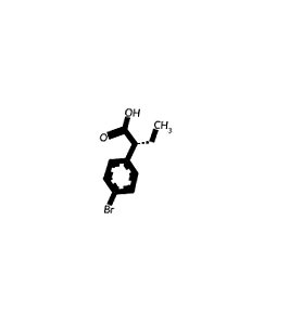 CC[C@@H](C(=O)O)c1ccc(Br)cc1